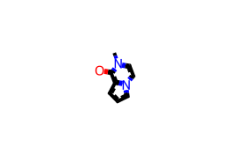 Cn1ccn2cccc2c1=O